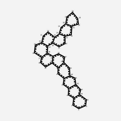 c1ccc2cc3cc4cc5c(ccc6c5ccc5ccc7ccc8c9cc%10ccccc%10cc9ccc8c7c56)cc4cc3cc2c1